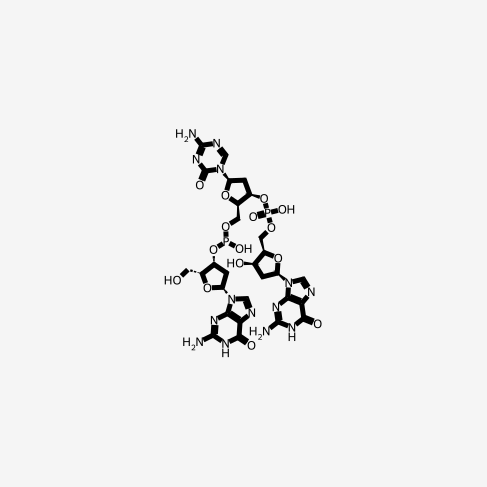 Nc1ncn([C@H]2C[C@@H](OP(=O)(O)OC[C@H]3O[C@@H](n4cnc5c(=O)[nH]c(N)nc54)C[C@H]3O)[C@@H](COP(O)O[C@@H]3C[C@H](n4cnc5c(=O)[nH]c(N)nc54)O[C@@H]3CO)O2)c(=O)n1